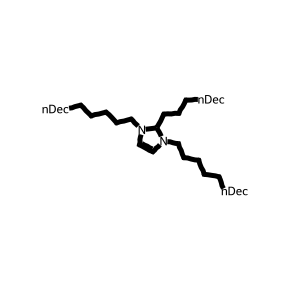 CCCCCCCCCCCCCCCN1C=CN(CCCCCCCCCCCCCCC)C1CCCCCCCCCCCCC